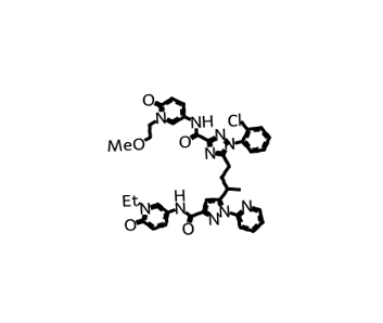 CCn1cc(NC(=O)c2cc(C(C)CCc3nc(C(=O)Nc4ccc(=O)n(CCOC)c4)nn3-c3ccccc3Cl)n(-c3ccccn3)n2)ccc1=O